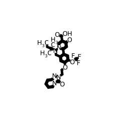 CCC(C)(C)N1Cc2cc(OCCn3nc4ccccn4c3=O)c(OC(F)(F)F)cc2-c2cc(=O)c(C(=O)O)cn21